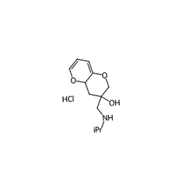 CC(C)NCC1(O)COC2=CC=COC2C1.Cl